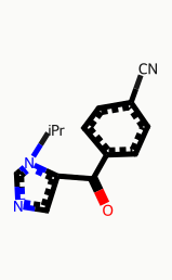 CC(C)n1cncc1C(=O)c1ccc(C#N)cc1